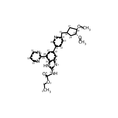 CCOC(=O)Nc1nc2cc(-c3ccc(CC4C[C@@H](OC)[C@H](OC)C4)nc3)cc(-c3ncccn3)c2[nH]1